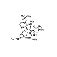 C=CCO[C@H]1C[C@@H](C(=O)N[C@@H](CC(C)C)C(=O)N[C@@H](Cc2cnc[nH]2)C(=O)N[C@@H](CO)C(=O)N[C@H](C(N)=O)[C@@H](C)OP(=O)(O)OC)N(C(=O)CCOC(C)C)C1